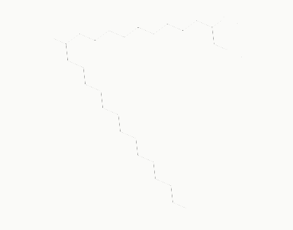 CCC(CCCCCCCCCCCCCC(=O)O)CCCCCCCCCC(CC(=O)O)C(=O)O